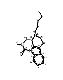 CCCCCN1CCc2c3n(c4ccccc24)C(=O)N(C)CC31